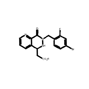 O=C(O)CC1NN(Cc2ccc(Br)cc2F)C(=O)c2ncccc21